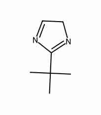 CC(C)(C)C1=NCC=N1